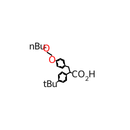 CCCCOCCOc1ccc(CC(C(=O)O)c2ccc(C(C)(C)C)cc2)cc1